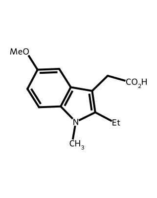 CCc1c(CC(=O)O)c2cc(OC)ccc2n1C